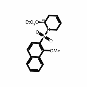 CCOC(=O)[C@H]1CC=CCN1S(=O)(=O)c1ccc2ccccc2c1OC